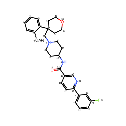 COc1ccccc1C1(CN2CCC(NC(=O)c3ccc(-c4cccc(F)c4)nc3)CC2)CCOCC1